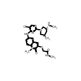 CNC(=O)COc1cc2cc(Nc3nc(N4C[C@H](C)C[C@@H](NC)C4)ncc3Cl)ccc2n(C)c1=O